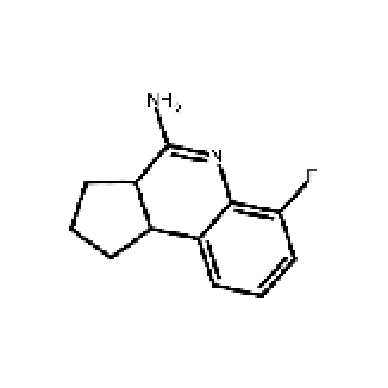 NC1=Nc2c(F)cccc2C2CCCC12